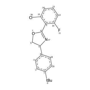 CC(C)(C)c1ccc(C2COC(c3c(F)cccc3Cl)=N2)cc1